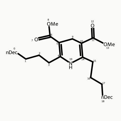 CCCCCCCCCCCCCC1=C(C(=O)OC)CC(C(=O)OC)=C(CCCCCCCCCCCCC)N1